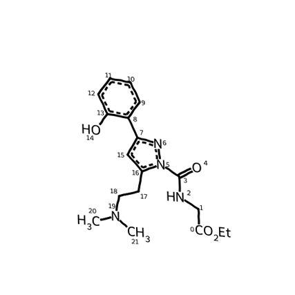 CCOC(=O)CNC(=O)n1nc(-c2ccccc2O)cc1CCN(C)C